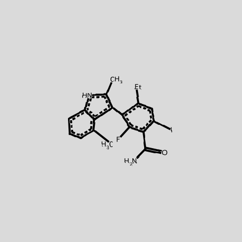 CCc1cc(I)c(C(N)=O)c(F)c1-c1c(C)[nH]c2cccc(C)c12